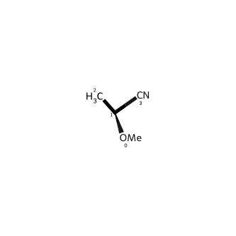 CO[C@@H](C)C#N